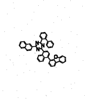 c1ccc(-c2ccccc2-c2nc(-c3ccc4ccccc4c3)nc(-c3ccc(-c4cccc5c4oc4ccccc45)c4ccccc34)n2)cc1